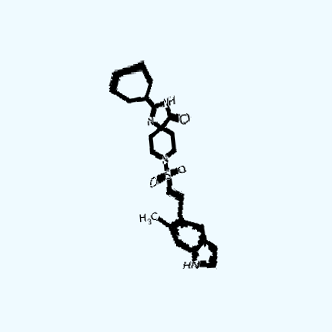 Cc1cc2[nH]ccc2cc1CCS(=O)(=O)N1CCC2(CC1)N=C(C1CCCCC1)NC2=O